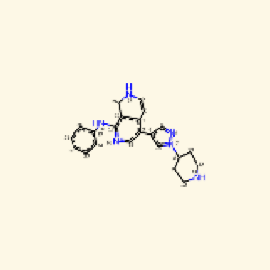 C1=Cc2c(-c3cnn(C4CCNCC4)c3)cnc(Nc3ccccc3)c2CN1